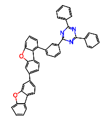 c1ccc(-c2nc(-c3ccccc3)nc(-c3cccc(-c4cccc5oc6cc(-c7ccc8c(c7)oc7ccccc78)ccc6c45)c3)n2)cc1